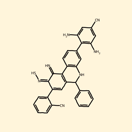 N#Cc1cc(N)c(-c2ccc3c(c2)NC(c2ccccc2)C2=C3C(=N)/C(=N\S)C(c3ccccc3C#N)=C2)c(N)c1